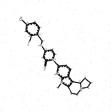 Cn1c2c(c3ccc(-n4ccc(OCc5ccc(Cl)cc5F)cc4=O)nc31)C1CCCN1CC2